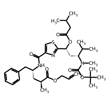 C=CCOC(=O)[C@@H](C)C[C@H](Cc1ccccc1)NC(=O)c1csc([C@@H](C[C@H](C(C)C)N(C)C(=O)OC(C)(C)C)OC(=O)CC(C)C)n1